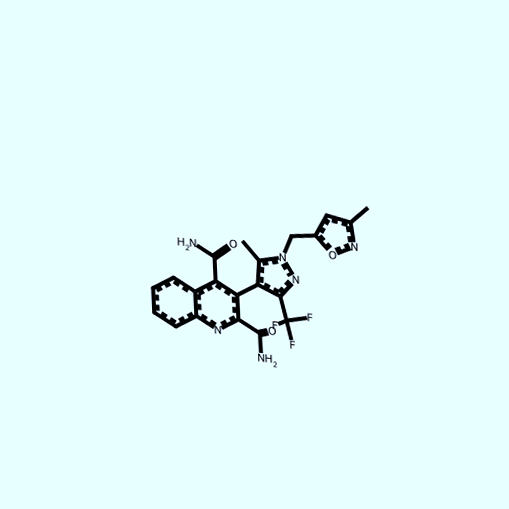 Cc1cc(Cn2nc(C(F)(F)F)c(-c3c(C(N)=O)nc4ccccc4c3C(N)=O)c2C)on1